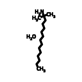 CCCCCCCCCCCCCC(C)(C)N.O